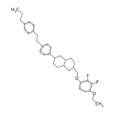 CCCc1ccc(CCc2ccc(C3CCC4CC(COc5ccc(OCC)c(F)c5F)CCC4C3)cc2)cc1